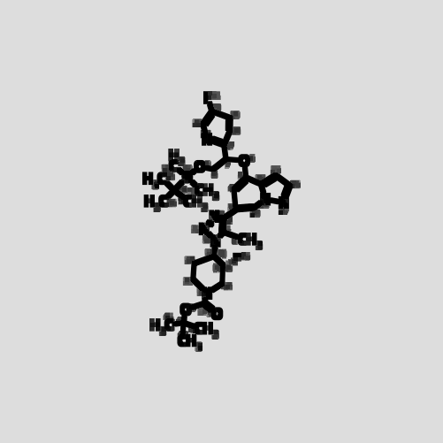 Cc1c(-c2cc(OC(CO[Si](C)(C)C(C)(C)C)c3ccc(F)cn3)c3ccnn3c2)nnn1[C@@H]1CCN(C(=O)OC(C)(C)C)C[C@H]1F